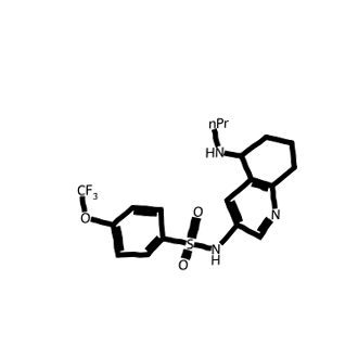 CCCNC1CCCc2ncc(NS(=O)(=O)c3ccc(OC(F)(F)F)cc3)cc21